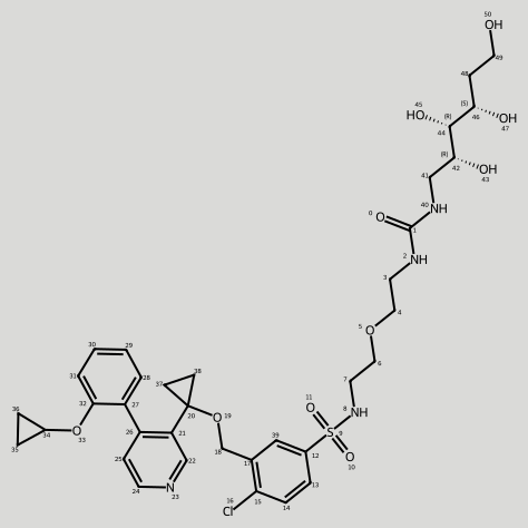 O=C(NCCOCCNS(=O)(=O)c1ccc(Cl)c(COC2(c3cnccc3-c3ccccc3OC3CC3)CC2)c1)NC[C@@H](O)[C@H](O)[C@@H](O)CCO